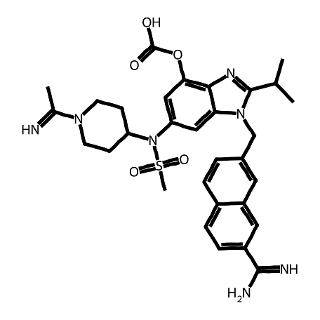 CC(=N)N1CCC(N(c2cc(OC(=O)O)c3nc(C(C)C)n(Cc4ccc5ccc(C(=N)N)cc5c4)c3c2)S(C)(=O)=O)CC1